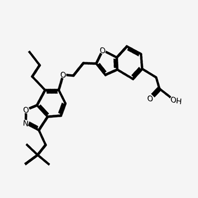 CCCc1c(OCCc2cc3cc(CC(=O)O)ccc3o2)ccc2c(CC(C)(C)C)noc12